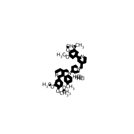 COc1cc(-c2cc(CN3CCC(N(Cc4ccnc(-c5cc(OC)c(OC)c(OC)c5)c4)c4ccc(C)cc4)CC3)ccn2)cc(OC)c1OC.Cl.Cl.Cl